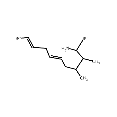 CC(C)/C=C/C/C=C/CC(C)C(C)C(N)C(C)C